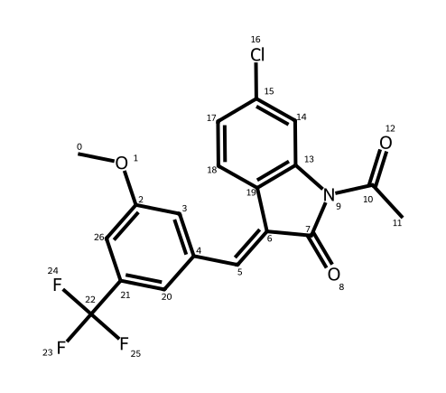 COc1cc(/C=C2/C(=O)N(C(C)=O)c3cc(Cl)ccc32)cc(C(F)(F)F)c1